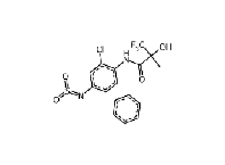 CC(O)(C(=O)Nc1ccc(N=S(=O)=O)cc1Cl)C(F)(F)F.c1ccccc1